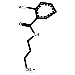 CC(=O)Oc1ccccc1C(=O)NCCCC(=O)O